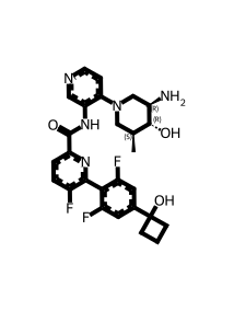 C[C@H]1CN(c2ccncc2NC(=O)c2ccc(F)c(-c3c(F)cc(C4(O)CCC4)cc3F)n2)C[C@@H](N)[C@@H]1O